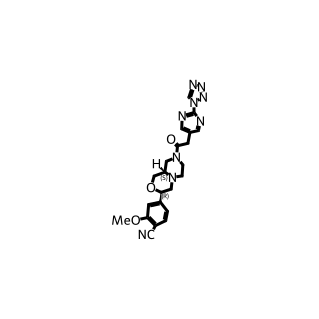 COc1cc([C@@H]2CN3CCN(C(=O)Cc4cnc(-n5cnnn5)nc4)C[C@H]3CO2)ccc1C#N